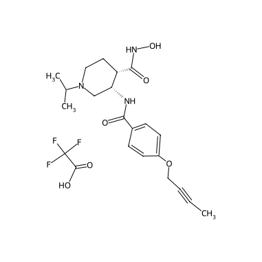 CC#CCOc1ccc(C(=O)N[C@@H]2CN(C(C)C)CC[C@@H]2C(=O)NO)cc1.O=C(O)C(F)(F)F